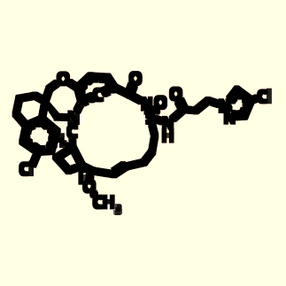 CO[C@H]1/C=C/CCCS(=O)(NC(=O)CCn2cc(Cl)cn2)=NC(=O)c2ccc3c(c2)N(C[C@@H]2CC[C@H]21)C[C@@]1(CCCc2cc(Cl)ccc21)CO3